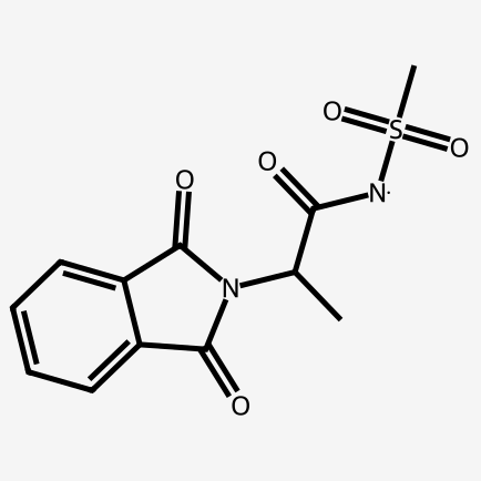 CC(C(=O)[N]S(C)(=O)=O)N1C(=O)c2ccccc2C1=O